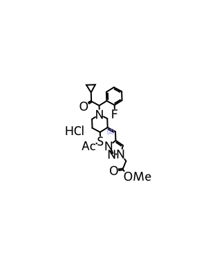 COC(=O)Cn1cc(/C=C2/CN(C(C(=O)C3CC3)c3ccccc3F)CCC2SC(C)=O)nn1.Cl